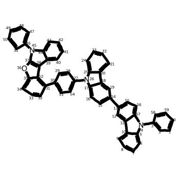 c1ccc(-n2c3ccccc3c3cc(-c4ccc5c(c4)c4ccccc4n5-c4ccc(-c5cccc6oc7c(c8ccccc8n7-c7ccccc7)c56)cc4)ccc32)cc1